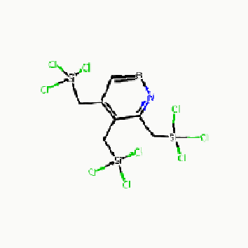 Cl[Si](Cl)(Cl)Cc1cbnc(C[Si](Cl)(Cl)Cl)c1C[Si](Cl)(Cl)Cl